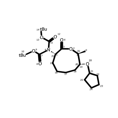 C[C@@H]1OC(=O)[C@@H](N(C(=O)OC(C)(C)C)C(=O)OC(C)(C)C)CCCC[C@H]1OC1CCCC1